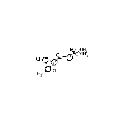 Cc1ccc(N2CCN(C(=O)CCC3CCCN(C(=O)OC(C)(C)C)C3)C[C@H]2c2ccc(Cl)cc2)c(Cl)c1